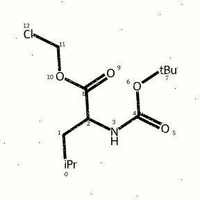 CC(C)CC(NC(=O)OC(C)(C)C)C(=O)OCCl